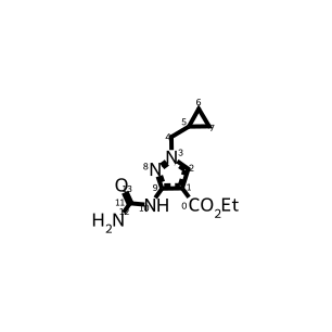 CCOC(=O)c1cn(CC2CC2)nc1NC(N)=O